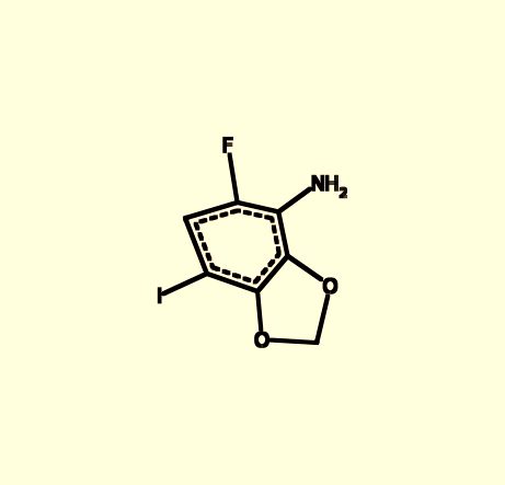 Nc1c(F)cc(I)c2c1OCO2